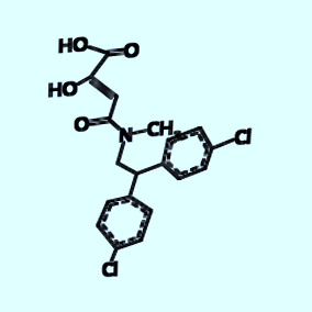 CN(CC(c1ccc(Cl)cc1)c1ccc(Cl)cc1)C(=O)C=C(O)C(=O)O